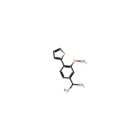 COc1cc(C(C)C)ccc1-c1cc[c]s1